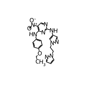 CCOc1ccc(Nc2nc(Nc3cnn(CCn4cccn4)c3)ncc2[N+](=O)[O-])cc1